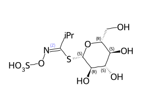 CC(C)/C(=N/OS(=O)(=O)O)S[C@@H]1O[C@H](CO)[C@@H](O)[C@H](O)[C@H]1O